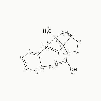 CC(C)(C)C1(C=Cc2ccccc2F)CCCN1C(=O)O